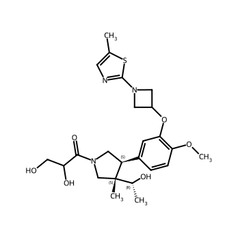 COc1ccc([C@@H]2CN(C(=O)C(O)CO)C[C@@]2(C)[C@@H](C)O)cc1OC1CN(c2ncc(C)s2)C1